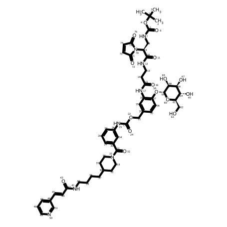 CC(C)(C)OC(=O)NC[C@@H](C(=O)NCCC(=O)Nc1cc(COC(=O)Nc2cccc(C(=O)N3CCC(CCCCNC(=O)/C=C/c4cccnc4)CC3)c2)ccc1O[C@H]1O[C@H](CO)[C@@H](O)[C@H](O)[C@@H]1O)N1C(=O)C=CC1=O